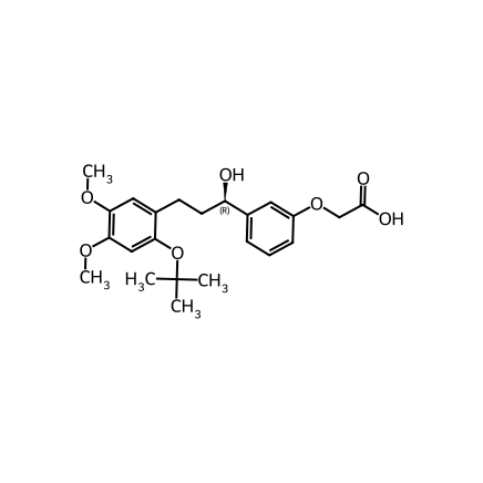 COc1cc(CC[C@@H](O)c2cccc(OCC(=O)O)c2)c(OC(C)(C)C)cc1OC